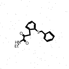 CCNC(=O)C(=O)Cc1ccccc1SCc1ccccc1